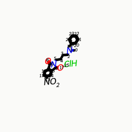 CN(CCCCN1C(=O)c2ccc([N+](=O)[O-])cc2C1=O)Cc1ccccc1.Cl